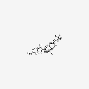 COc1ccc2[nH]c(C(=O)N[C@H](C)c3ccc(OCC(F)(F)F)nc3)cc2c1